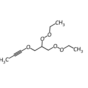 CC#COCC(COOCC)OOCC